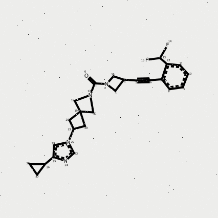 O=C(N1CC(C#Cc2ccccc2C(F)F)C1)N1CC2(CC(n3cnc(C4CC4)c3)C2)C1